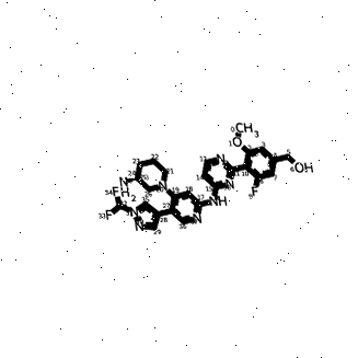 COc1cc(CO)cc(F)c1-c1nccc(Nc2cc(N3CCC[C@H](N)C3)c(-c3cnn(C(F)F)c3)cn2)n1